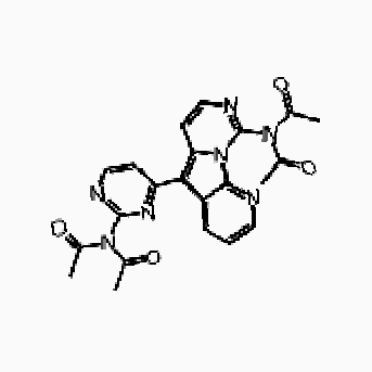 CC(=O)N(C(C)=O)c1nccc(-c2c3cccnc3n3c(N(C(C)=O)C(C)=O)nccc23)n1